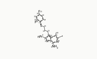 CCCc1nc2c(N)nc(C)c(C)c2n1CCCSc1ccc(F)cc1F